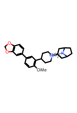 CCOC(=O)N1C2CCC1CC(N1CCC(c3cc(-c4ccc5c(c4)OCO5)ccc3OC)CC1)C2